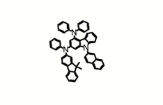 CC1(C)c2ccccc2-c2ccc(N(c3ccccc3)c3cc(N(c4ccccc4)c4ccccc4)c4c5ccccc5n(-c5ccc6ccccc6c5)c4c3)cc21